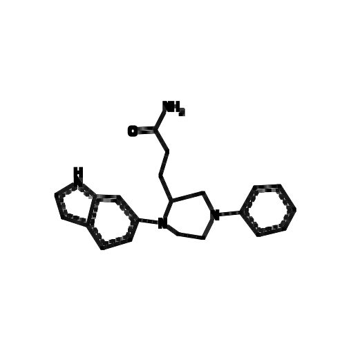 NC(=O)CCC1CN(c2ccccc2)CCN1c1ccc2cc[nH]c2c1